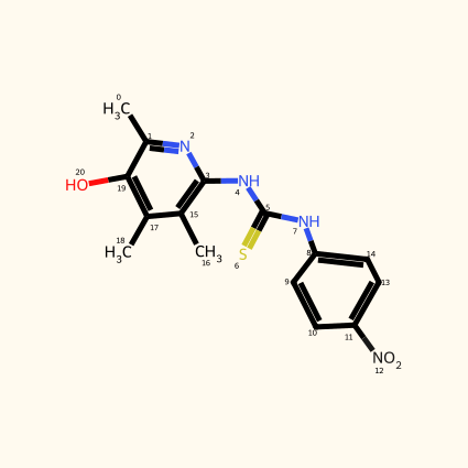 Cc1nc(NC(=S)Nc2ccc([N+](=O)[O-])cc2)c(C)c(C)c1O